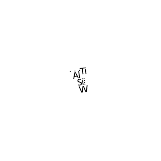 [Al].[Si].[Ti].[W]